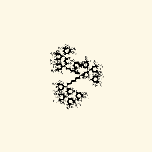 CC1(C)CC(ON2N=C(N(C3CC(C)(C)NC(C)(C)C3)C3CC(C)(C)NC(C)(C)C3)C=C(N(CCCCCCN(C3=CC(N(C4CC(C)(C)NC(C)(C)C4)C4CC(C)(C)NC(C)(C)C4)=NN(OC4CC(C)(C)NC(C)(C)C4)N3)C3CC(C)(C)NC(C)(C)C3)CCCCCCN(C3=CC(N(C4CC(C)(C)NC(C)(C)C4)C4CC(C)(C)NC(C)(C)C4)=NN(OC4CC(C)(C)NC(C)(C)C4)N3)C3CC(C)(C)NC(C)(C)C3)N2)CC(C)(C)N1